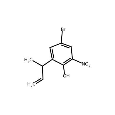 C=CC(C)c1cc(Br)cc([N+](=O)[O-])c1O